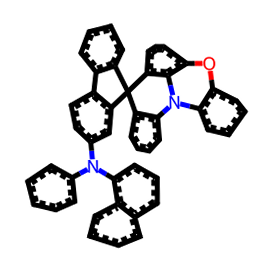 c1ccc(N(c2ccc3c(c2)C2(c4ccccc4-3)c3ccccc3N3c4ccccc4Oc4cccc2c43)c2cccc3ccccc23)cc1